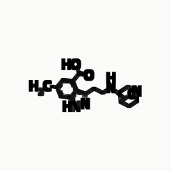 Cc1cc(C(=O)O)c2c(CCNC3CN4CCC3CC4)n[nH]c2c1